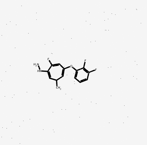 CC1C=C(Oc2cccc(F)c2F)C=C(F)C(NN)=C1